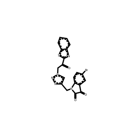 O=C(Cn1cc(CN2C(=O)C(=O)c3cc(Br)ccc32)nn1)c1nc2ccccc2s1